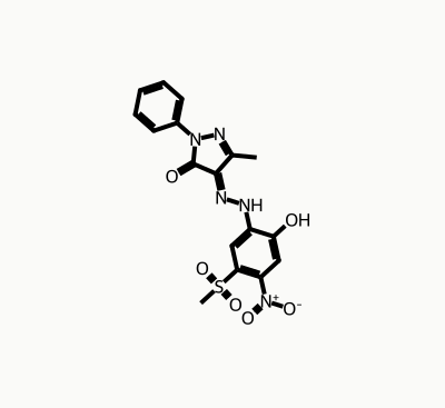 CC1=NN(c2ccccc2)C(=O)/C1=N/Nc1cc(S(C)(=O)=O)c([N+](=O)[O-])cc1O